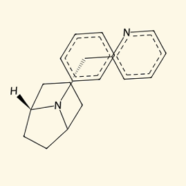 c1ccc(N2C3CC[C@@H]2C[C@H](Cc2ccccn2)C3)cc1